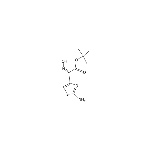 CC(C)(C)OC(=O)C(=NO)c1csc(N)n1